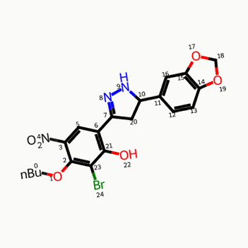 CCCCOc1c([N+](=O)[O-])cc(C2=NNC(c3ccc4c(c3)OCO4)C2)c(O)c1Br